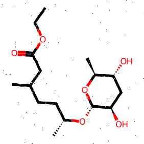 CCOC(=O)CC(C)CC[C@@H](C)O[C@@H]1O[C@@H](C)[C@H](O)C[C@H]1O